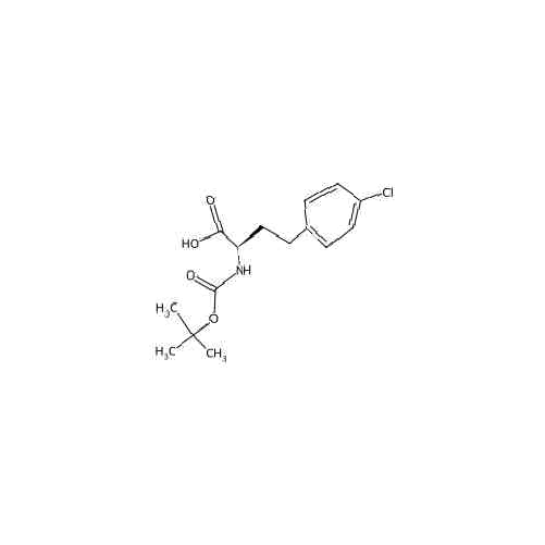 CC(C)(C)OC(=O)N[C@H](CCc1ccc(Cl)cc1)C(=O)O